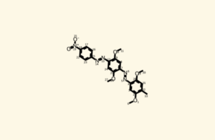 COc1cc(N=Nc2cc(OC)c(N=Nc3ccc([N+](=O)[O-])cc3)cc2OC)c(OC)cc1C